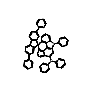 c1ccc(-c2ccc3c(c2)C2(c4cc(-c5ccccc5)ccc4-3)c3cccc4c(N(c5ccccc5)c5ccccc5)cc5c(c34)c3c2cccc3n5-c2ccccc2)cc1